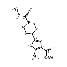 COC(=O)c1cc(C2CCN(C(=O)OC(C)(C)C)CC2)sc1N